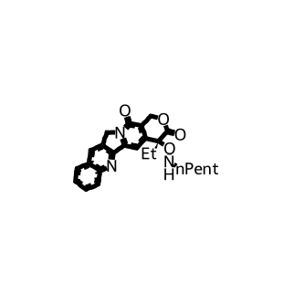 CCCCCNO[C@]1(CC)C(=O)OCc2c1cc1n(c2=O)Cc2cc3ccccc3nc2-1